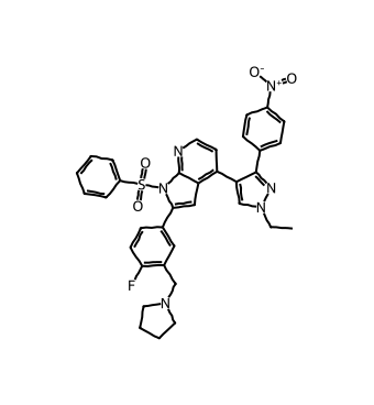 CCn1cc(-c2ccnc3c2cc(-c2ccc(F)c(CN4CCCC4)c2)n3S(=O)(=O)c2ccccc2)c(-c2ccc([N+](=O)[O-])cc2)n1